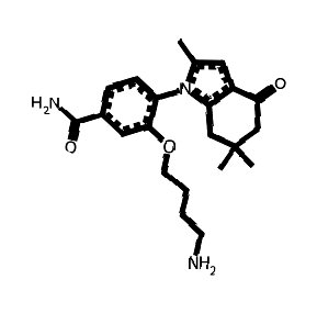 Cc1cc2c(n1-c1ccc(C(N)=O)cc1OCCCCN)CC(C)(C)CC2=O